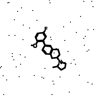 COc1ccc(F)cc1-c1ccc2c(c1)CCC(N1CCCC1C)C2